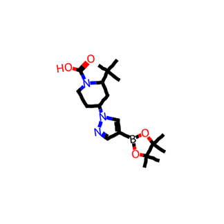 CC(C)(C)C1CC(n2cc(B3OC(C)(C)C(C)(C)O3)cn2)CCN1C(=O)O